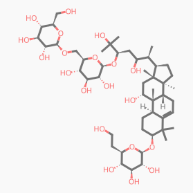 C[C@H](C(O)C[C@@H](O[C@@H]1O[C@H](CO[C@@H]2O[C@H](CO)[C@@H](O)[C@H](O)[C@H]2O)[C@@H](O)[C@H](O)[C@H]1O)C(C)(C)O)[C@H]1CC[C@@]2(C)[C@@H]3CC=C4[C@@H](CC[C@H](O[C@@H]5O[C@H](CCO)[C@@H](O)[C@H](O)[C@H]5O)C4(C)C)[C@]3(C)[C@H](O)C[C@]12C